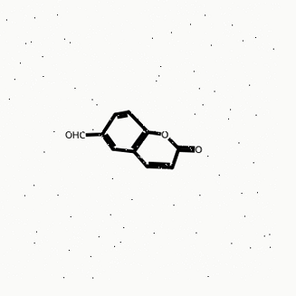 O=Cc1ccc2oc(=O)ccc2c1